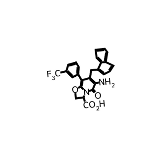 Nc1c(Cc2cccc3ccccc23)c(-c2cccc(C(F)(F)F)c2)c2n(c1=O)C(C(=O)O)CO2